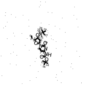 CC[C@H]1O[C@@H](n2ccc(NC(=O)OC(C)(C)C)nc2=O)C[C@H]1O[Si](C)(C)C(C)(C)C